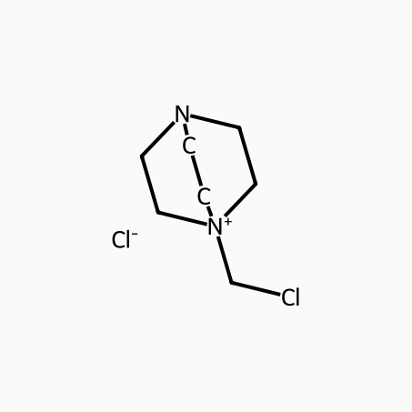 ClC[N+]12CCN(CC1)CC2.[Cl-]